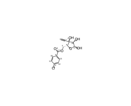 C#C[C@@]1(O)[C@@H](COC(=O)c2ccc(Cl)cc2)O[C@H](O)[C@@H]1O